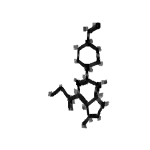 CCNc1nc(N2CCN(C=O)CC2)nc2scc(C)c12